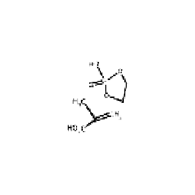 C=C(C)C(=O)O.O=P1(O)OCCO1